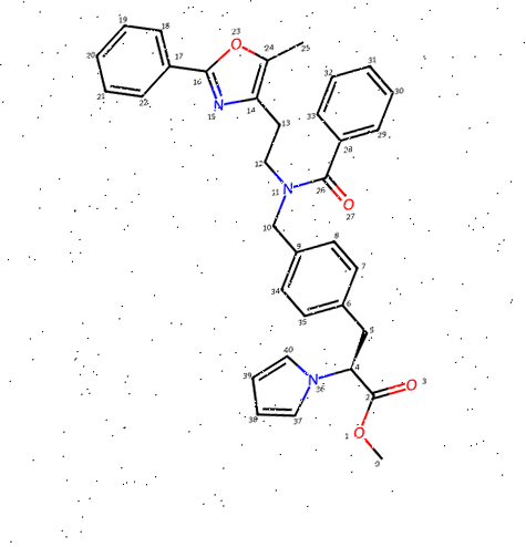 COC(=O)[C@H](Cc1ccc(CN(CCc2nc(-c3ccccc3)oc2C)C(=O)c2ccccc2)cc1)n1cccc1